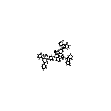 N#Cc1cc(N2c3ccccc3C3(c4ccc(-n5c6ccccc6c6ccccc65)cc4-c4cc(-n5c6ccccc6c6ccccc65)ccc43)c3ccccc32)ccc1-c1nc(-c2ccccc2)nc(-c2ccccc2)n1